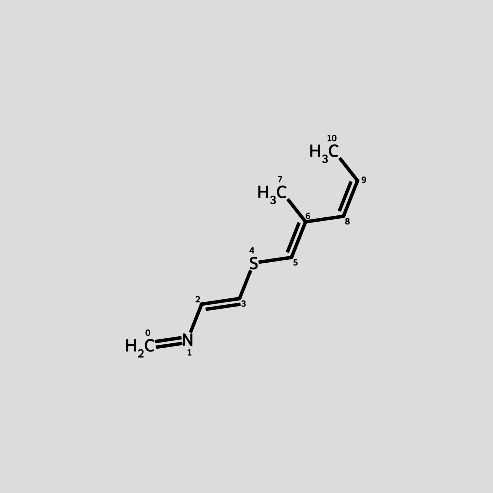 C=N/C=C/S/C=C(C)/C=C\C